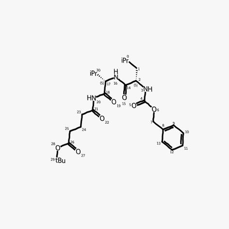 CC(C)C[C@H](NC(=O)OCc1ccccc1)C(=O)N[C@H](C(=O)NC(=O)CCCC(=O)OC(C)(C)C)C(C)C